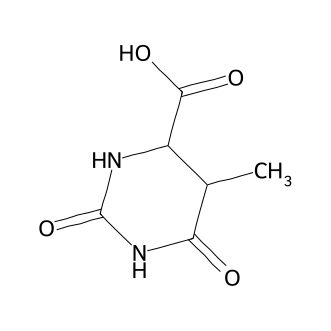 CC1C(=O)NC(=O)NC1C(=O)O